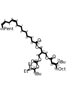 CCCCC/C=C\C/C=C\CCCCCCCC(=O)OCC(COC(=O)/C=C(\CCCC)CCCCCCCC)COC(=O)OC(N(CC)CC)C(C)(C)C